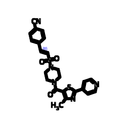 Cc1nc(-c2ccncc2)sc1C(=O)N1CCN(S(=O)(=O)/C=C/c2ccc(C#N)cc2)CC1